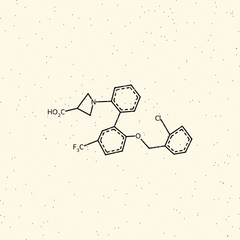 O=C(O)C1CN(c2ccccc2-c2cc(C(F)(F)F)ccc2OCc2ccccc2Cl)C1